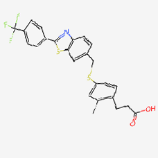 Cc1cc(SCc2ccc3nc(-c4ccc(C(F)(F)F)cc4)sc3c2)ccc1CCC(=O)O